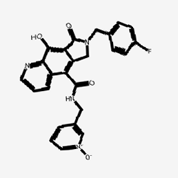 O=C(NCc1ccc[n+]([O-])c1)c1c2c(c(O)c3ncccc13)C(=O)N(Cc1ccc(F)cc1)C2